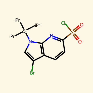 CC(C)[Si](C(C)C)(C(C)C)n1cc(Br)c2ccc(S(=O)(=O)Cl)nc21